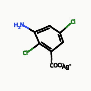 Nc1cc(Cl)cc(C(=O)[O-])c1Cl.[Ag+]